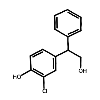 OCC(c1ccccc1)c1ccc(O)c(Cl)c1